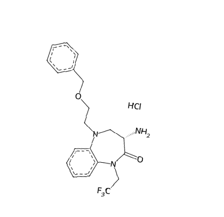 Cl.N[C@H]1CN(CCOCc2ccccc2)c2ccccc2N(CC(F)(F)F)C1=O